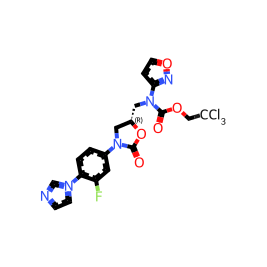 O=C1O[C@@H](CN(C(=O)OCC(Cl)(Cl)Cl)c2ccon2)CN1c1ccc(-n2ccnc2)c(F)c1